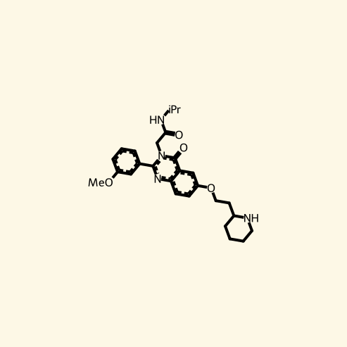 COc1cccc(-c2nc3ccc(OCCC4CCCCN4)cc3c(=O)n2CC(=O)NC(C)C)c1